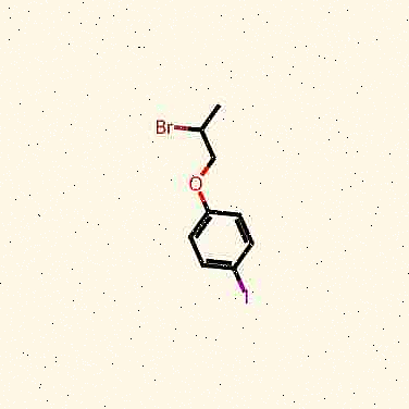 CC(Br)COc1ccc(I)cc1